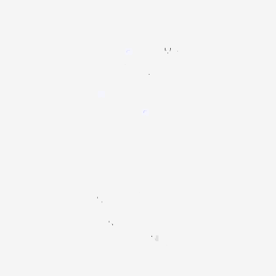 C\C=C(/C=C\C(COc1nnc(N)s1)=C(\C)CC)C(C)(C)OC